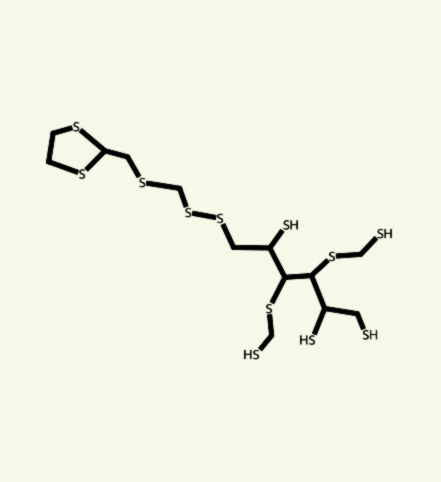 SCSC(C(S)CS)C(SCS)C(S)CSSCSCC1SCCS1